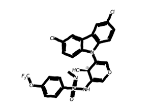 CN=S(=O)(NC1=COC=C(n2c3ccc(Cl)cc3c3cc(Cl)ccc32)[C@@H]1O)c1ccc(OC(F)(F)F)cc1